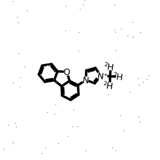 [2H]C([2H])([2H])[n+]1ccn(-c2cccc3c2oc2ccccc23)c1